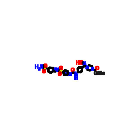 COC(=O)N1CCN(/C(=N/O)c2ccc(NC(=O)Nc3ccc(S(=O)(=O)NCc4ccc(S(N)(=O)=O)cc4)cc3)cc2)CC1